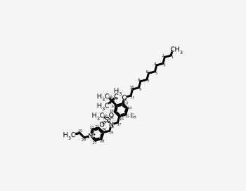 CCCCCCCCCCCCOc1ccc(CN(Cc2cc[n+](CCC)cc2)S(C)(=O)=O)cc1C(C)(C)C.[I-]